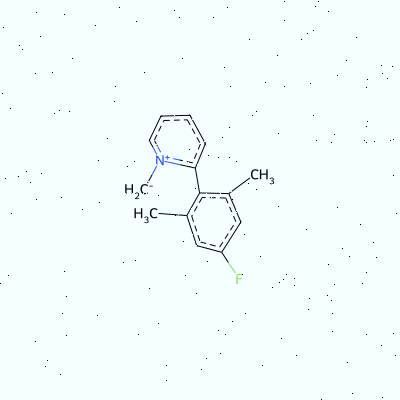 [CH2-][n+]1ccccc1-c1c(C)cc(F)cc1C